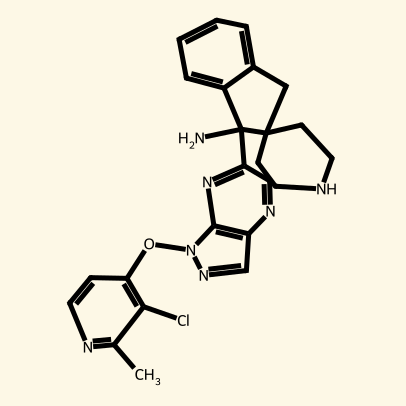 Cc1nccc(On2ncc3ncc(C4(N)c5ccccc5CC45CCNCC5)nc32)c1Cl